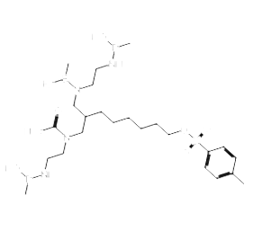 BC(=O)N(CCNB(C)O)CC(CCCCCCOS(=O)(=O)c1ccc(C)cc1)CN(CCNB(C)O)B(C)O